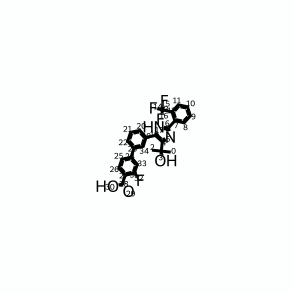 CC(C)(O)c1nc(-c2ccccc2C(F)(F)F)[nH]c1-c1cccc(-c2ccc(C(=O)O)c(F)c2)c1